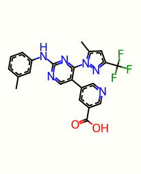 Cc1cccc(Nc2ncc(-c3cncc(C(=O)O)c3)c(-n3nc(C(F)(F)F)cc3C)n2)c1